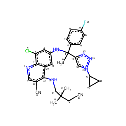 BC(Nc1cc(Cl)c2ncc(C#N)c(NCC(C)(C)CC#N)c2c1)(c1ccc(F)cc1)c1cn(C2CC2)nn1